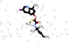 CCC#CC(C)(C)NC(=O)C(Oc1cc(C)c2ncc(I)cc2c1)SC